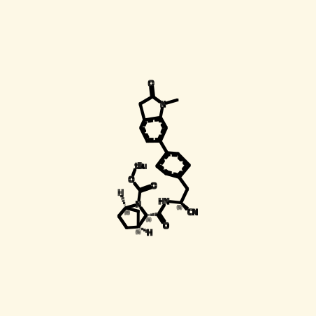 CN1C(=O)Cc2ccc(-c3ccc(C[C@@H](C#N)NC(=O)[C@@H]4[C@H]5CC[C@H](C5)N4C(=O)OC(C)(C)C)cc3)cc21